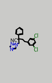 N#CC(CCc1cc(Cl)cc(Cl)c1)(Cn1cncn1)c1ccccc1